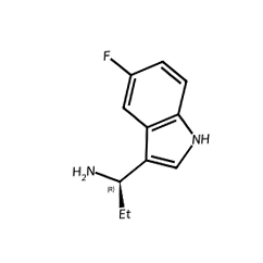 CC[C@@H](N)c1c[nH]c2ccc(F)cc12